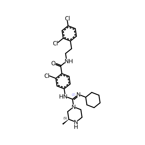 C[C@H]1CN(/C(=N\C2CCCCC2)Nc2ccc(C(=O)NCCc3ccc(Cl)cc3Cl)c(Cl)c2)CCN1